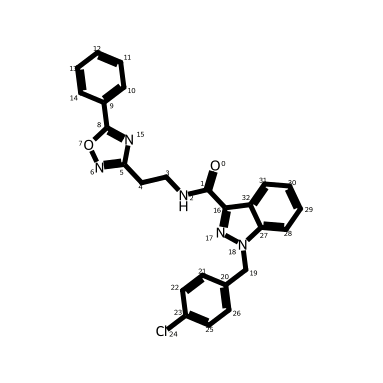 O=C(NCCc1noc(-c2ccccc2)n1)c1nn(Cc2ccc(Cl)cc2)c2ccccc12